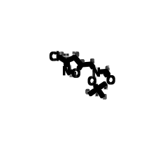 CC(C)(C)ON(C=O)CC1CC(Cl)=NO1